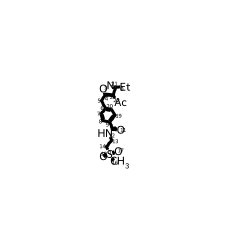 CCc1noc(Cc2ccc(C(=O)NCCS(C)(=O)=O)cc2)c1C(C)=O